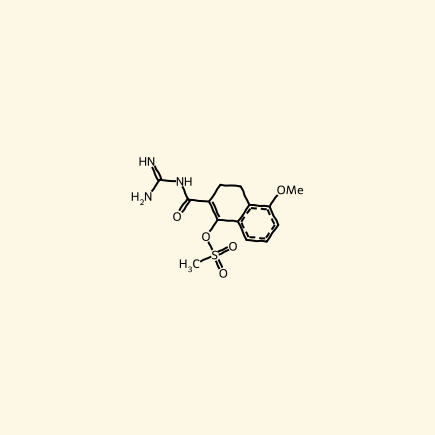 COc1cccc2c1CCC(C(=O)NC(=N)N)=C2OS(C)(=O)=O